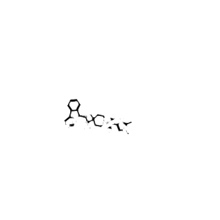 Cc1nc(S(=O)(=O)N2CCC3(CC2)C[C@@H]([C@H]2c4ccccc4-c4cncn42)[C@H]3O)cn1C